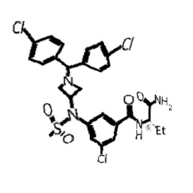 CC[C@H](NC(=O)c1cc(Cl)cc(N(C2CN(C(c3ccc(Cl)cc3)c3ccc(Cl)cc3)C2)S(C)(=O)=O)c1)C(N)=O